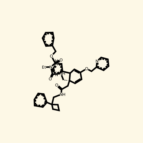 CCN(C(=O)NC[C@@]1(CC(=O)NCC2(c3ccccc3)CCC2)C=CC(OCc2ccccn2)=CC1c1c[nH]cn1)C(=O)OCc1ccccc1